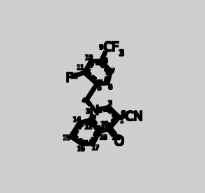 N#Cc1cn(Cc2ccc(C(F)(F)F)cc2F)c2ccccc2c1=O